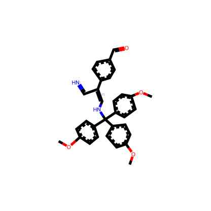 COc1ccc(C(N/C=C(\C=N)c2ccc(C=O)cc2)(c2ccc(OC)cc2)c2ccc(OC)cc2)cc1